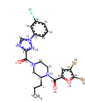 CCC[C@H]1CN(C(=O)c2ncn(-c3cccc(F)c3)n2)CCN1C(=O)c1cc(Br)c(Br)o1